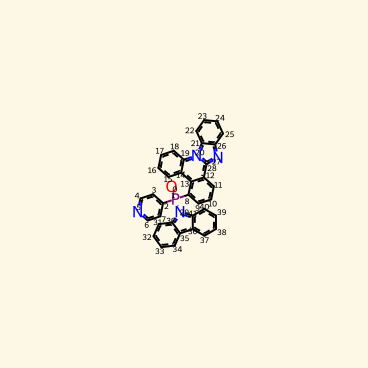 O=P(c1ccncc1)(c1cccc2c1c1ccccc1n1c3ccccc3nc21)n1c2ccccc2c2ccccc21